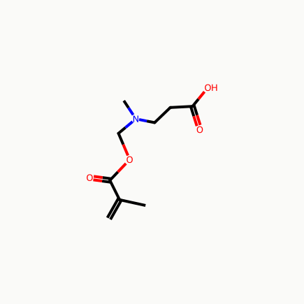 C=C(C)C(=O)OCN(C)CCC(=O)O